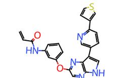 C=CC(=O)Nc1cccc(Oc2cnc3[nH]cc(-c4ccc(-c5ccsc5)nc4)c3n2)c1